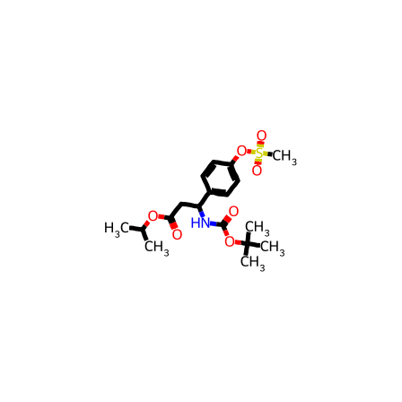 CC(C)OC(=O)CC(NC(=O)OC(C)(C)C)c1ccc(OS(C)(=O)=O)cc1